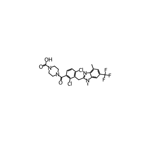 Cc1cc(C(F)(F)F)cc2c1nc(Cc1c(Cl)ccc(C(=O)N3CCN(C(=O)O)CC3)c1Cl)n2C